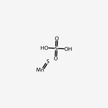 O=S(=O)(O)O.[S]=[Mn]